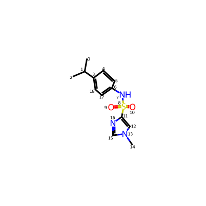 CC(C)c1ccc(NS(=O)(=O)c2cn(C)cn2)cc1